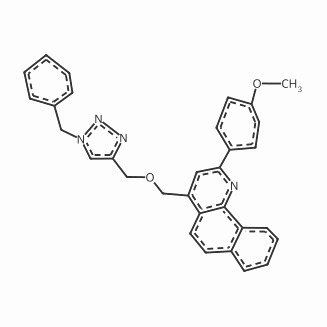 COc1ccc(-c2cc(COCc3cn(Cc4ccccc4)nn3)c3ccc4ccccc4c3n2)cc1